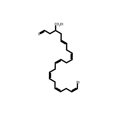 CC/C=C\C/C=C\C/C=C\C/C=C\C/C=C\C/C=C/CC(CC=S)C(=O)OCC